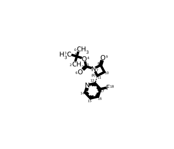 CC(C)(C)OC(=O)N1C(=O)C[C@@H]1c1ncccc1F